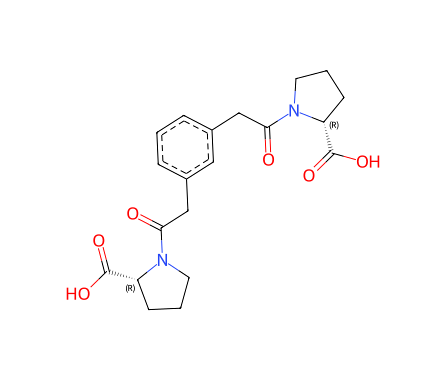 O=C(O)[C@H]1CCCN1C(=O)Cc1cccc(CC(=O)N2CCC[C@@H]2C(=O)O)c1